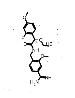 CCO[C@H](C(=O)NCc1ccc(C(=N)N)cc1OC)c1ccc(OC)cc1F.Cl